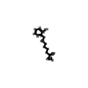 NC(=O)CCCCOCc1ccccc1F